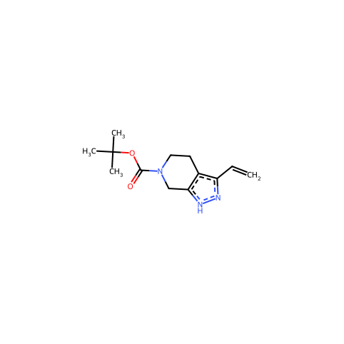 C=Cc1n[nH]c2c1CCN(C(=O)OC(C)(C)C)C2